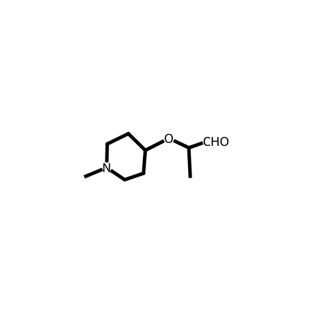 CC(C=O)OC1CCN(C)CC1